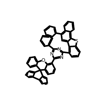 c1ccc(-c2nc(-c3cccc4c3Oc3ccccc3C43c4ccccc4-c4ccccc43)nc(-c3cccc4sc5c6ccccc6c(-c6ccccc6)cc5c34)n2)cc1